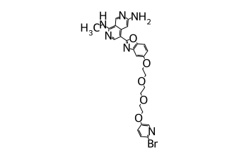 CNc1ncc(-c2nc3cc(OCCOCCOCCOc4ccc(Br)nc4)ccc3o2)c2cc(N)ncc12